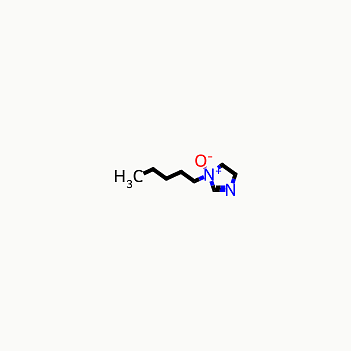 CCCCC[N+]1([O-])C=NCC1